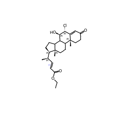 CCOC(=O)/C=C/[C@@H](C)[C@H]1CCC2C3C(CC[C@@]21C)[C@@]1(C)CCC(=O)C=C1[C@@H](Cl)[C@@H]3O